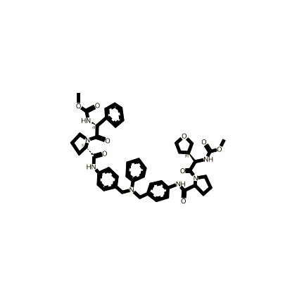 COC(=O)NC(C(=O)N1CCCC1C(=O)Nc1ccc(CN(Cc2ccc(NC(=O)[C@@H]3CCCN3C(=O)[C@H](NC(=O)OC)c3ccccc3)cc2)c2ccccc2)cc1)[C@H]1CCOC1